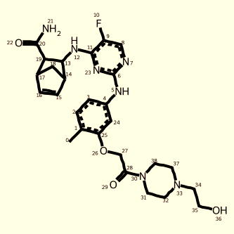 Cc1ccc(Nc2ncc(F)c(NC3C4C=CC(C4)C3C(N)=O)n2)cc1OCC(=O)N1CCN(CCO)CC1